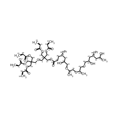 C=CC(=O)OCC(COCC(COC(=O)C=C)(COC(=O)C=C)COC(=O)CCN(CCC)CC(O)COC(C)COC(C)COCC(O)CN(CCC)CC(C)O)(COC(=O)C=C)COC(=O)C=C